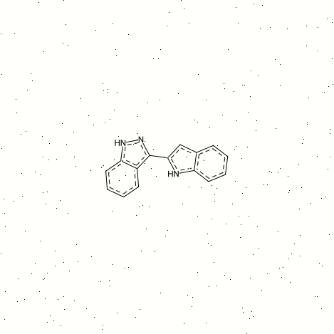 c1ccc2[nH]c(-c3n[nH]c4ccccc34)cc2c1